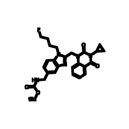 CC(C)(C)OC(=O)NCc1ccc2c(c1)nc(Cn1c(=O)n(C3CC3)c(=O)c3ccccc31)n2CCCCF